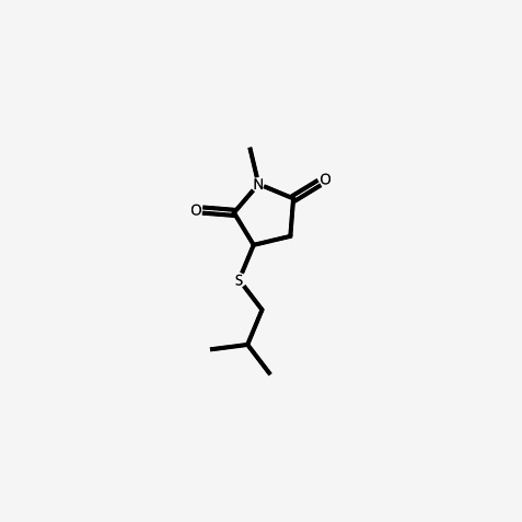 CC(C)CSC1CC(=O)N(C)C1=O